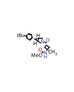 COC(=O)N[C@]1(C)C[C@H](C(=O)N2C[C@@H]3[C@H](C2)[C@H]3c2ccc(C(C)(C)C)cc2)C1